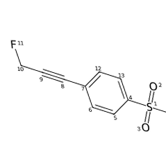 CS(=O)(=O)c1ccc(C#CCF)cc1